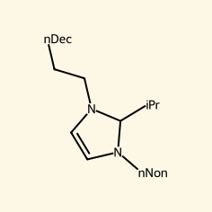 CCCCCCCCCCCCN1C=CN(CCCCCCCCC)C1C(C)C